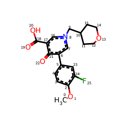 COc1ccc(-c2cn(CC3CCOCC3)cc(C(=O)O)c2=O)cc1F